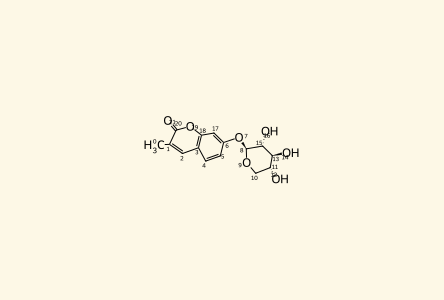 Cc1cc2ccc(O[C@@H]3OC[C@@H](O)[C@H](O)[C@H]3O)cc2oc1=O